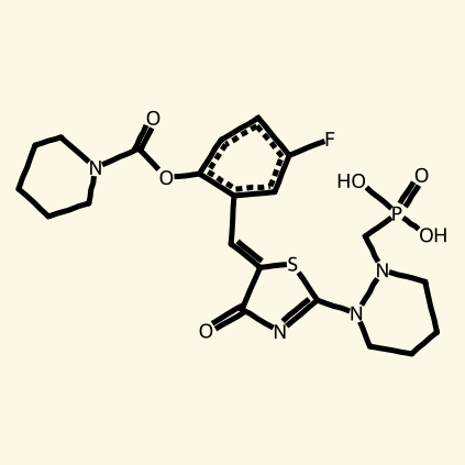 O=C1N=C(N2CCCCN2CP(=O)(O)O)S/C1=C\c1cc(F)ccc1OC(=O)N1CCCCC1